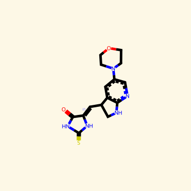 O=C1NC(=S)N/C1=C\C1CNc2ncc(N3CCOCC3)cc21